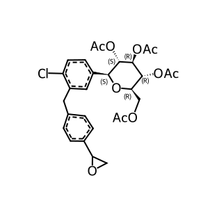 CC(=O)OC[C@H]1O[C@@H](c2ccc(Cl)c(Cc3ccc(C4CO4)cc3)c2)[C@H](OC(C)=O)[C@@H](OC(C)=O)[C@@H]1OC(C)=O